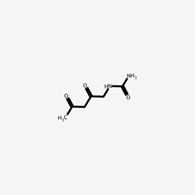 CC(=O)CC(=O)CNC(N)=O